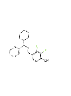 N#Cc1ccc(CCC(C2CCCCC2)C2CCCCC2)c(F)c1F